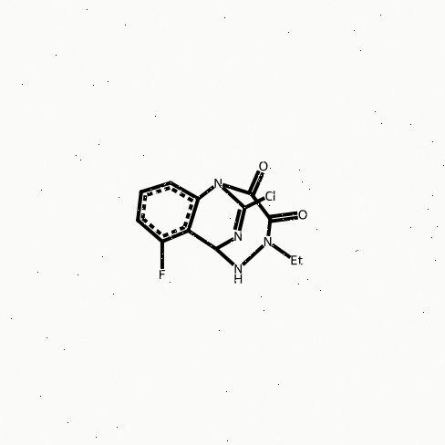 CCN1NC2N=C(Cl)N(C(=O)C1=O)c1cccc(F)c12